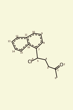 CC(=O)CCC(Cl)c1cccc2ccccc12